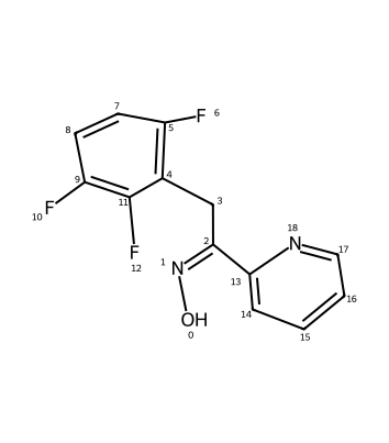 O/N=C(/Cc1c(F)ccc(F)c1F)c1ccccn1